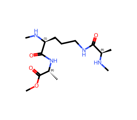 CN[C@@H](CCCNC(=O)[C@@H](C)NC)C(=O)N[C@H](C)C(=O)OC